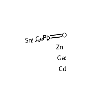 [Cd].[Ga].[Ge].[O]=[Pb].[Sn].[Zn]